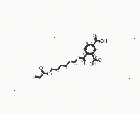 C=CC(=O)OCCCCCCOC(=O)c1ccc(C(=O)O)cc1C(=O)O